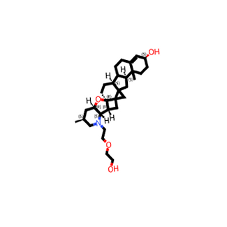 C[C@H]1C[C@H]2O[C@@]34CC[C@H]5C6CCC7=C[C@@H](O)CCC7(C)[C@H]6CC56CC63C[C@@H]4[C@@H]2N(CCOCCO)C1